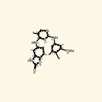 [CH2]c1c(C)cc(Nc2ncc(C)c(Nc3ccc4oc(=O)[nH]c4c3)n2)cc1OC